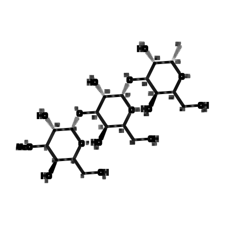 COC1[C@H](O)C(CO)O[C@@H](OC2[C@H](O)C(CO)O[C@@H](OC3[C@H](O)C(CO)O[C@@H](C)[C@H]3O)[C@H]2O)[C@H]1O